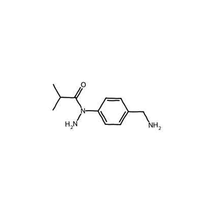 CC(C)C(=O)N(N)c1ccc(CN)cc1